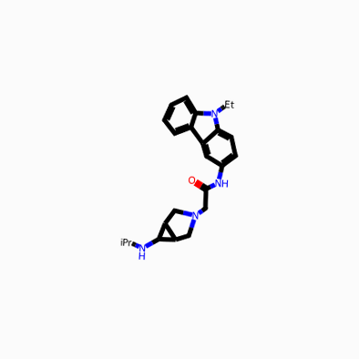 CCn1c2ccccc2c2cc(NC(=O)CN3CC4C(C3)C4NC(C)C)ccc21